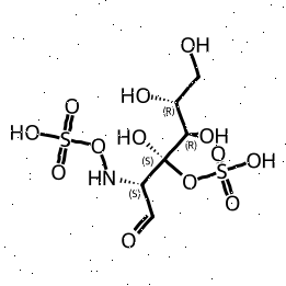 O=C[C@H](NOS(=O)(=O)O)[C@](O)(OS(=O)(=O)O)[C@H](O)[C@H](O)CO